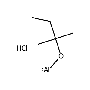 CCC(C)(C)[O][Al].Cl